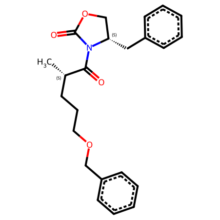 C[C@@H](CCCOCc1ccccc1)C(=O)N1C(=O)OC[C@@H]1Cc1ccccc1